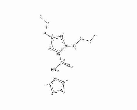 CCCOc1nn(CCC)cc1C(=O)Nc1nccs1